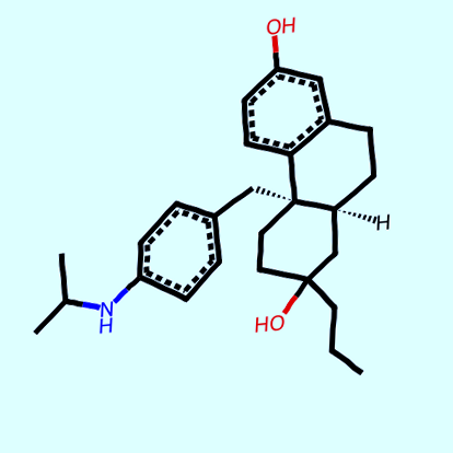 CCCC1(O)CC[C@@]2(Cc3ccc(NC(C)C)cc3)c3ccc(O)cc3CC[C@H]2C1